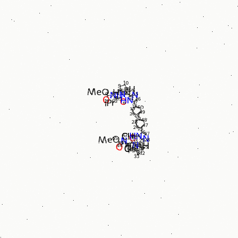 COC(=O)N[C@H](C(=O)N1[C@@H]2CC[C@@H](C2)[C@H]1c1ncc(-c2ccc(-c3ccc(-c4cnc([C@@H]5[C@H]6CC[C@H](C6)N5C(=O)[C@H](C)N(C)C(=O)OC)[nH]4)cc3)cc2)[nH]1)C(C)C